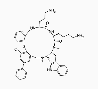 CN1C(=O)[C@H](CCCCN)NC(=O)[C@H](CCCN)NCc2ccccc2Sc2c(Cl)cc(-c3ccccc3)cc2CNC(=O)[C@@H]1Cc1c[nH]c2ccccc12